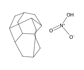 C1C2CC3C4CC5CC(C14)C(C2)C3C5.O=[N+]([O-])O